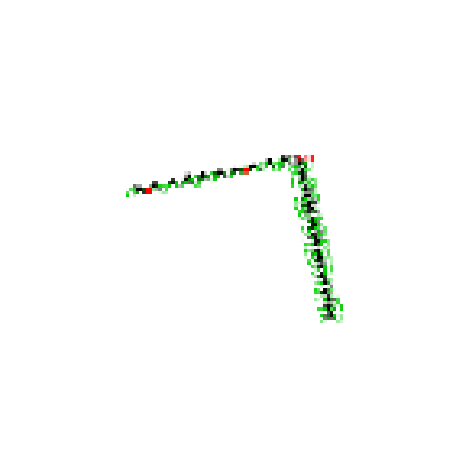 CCO.ClCCl.ClCCl.ClCCl.ClCCl.ClCCl.ClCCl.ClCCl.ClCCl.ClCCl.ClCCl.ClCCl.ClCCl.ClCCl.ClCCl.ClCCl.ClCCl.ClCCl.ClCCl.ClCCl.ClCCl.ClCCl.ClCCl.ClCCl.ClCCl.ClCCl.ClCCl.ClCCl.ClCCl.ClCCl.ClCCl